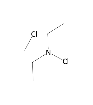 CCN(Cl)CC.CCl